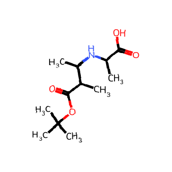 CC(NC(C)C(C)C(=O)OC(C)(C)C)C(=O)O